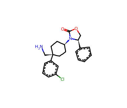 NC[C@]1(c2cccc(Cl)c2)CC[C@H](N2C(=O)OC[C@H]2c2ccccc2)CC1